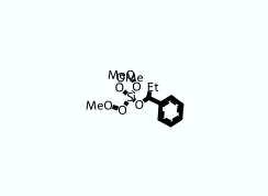 CCC(O[Si](OOC)(OOC)OOC)c1ccccc1